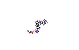 COCCc1nnc(-c2ccc(C(CC(=NO)c3ccnc(C)c3)c3ccccc3C)cc2)o1